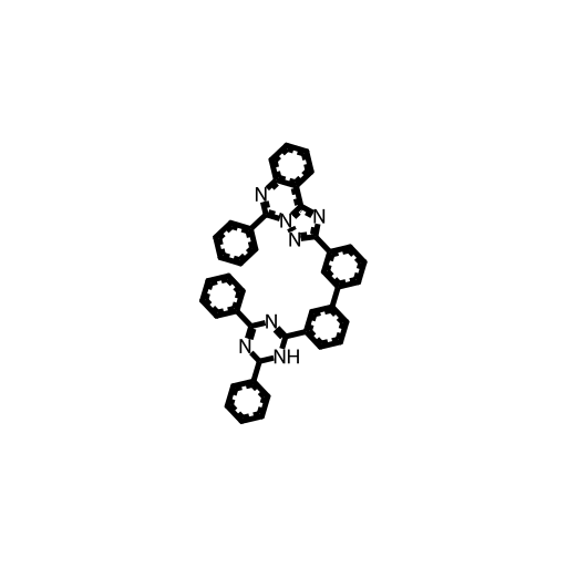 c1ccc(C2=NC(c3ccccc3)NC(c3cccc(-c4cccc(-c5nc6c7ccccc7nc(-c7ccccc7)n6n5)c4)c3)=N2)cc1